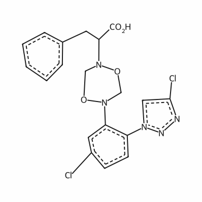 O=C(O)C(Cc1ccccc1)N1CON(c2cc(Cl)ccc2-n2cc(Cl)nn2)CO1